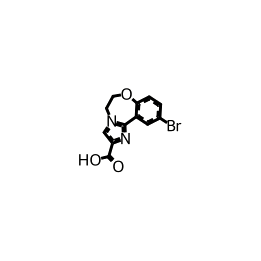 O=C(O)c1cn2c(n1)-c1cc(Br)ccc1OCC2